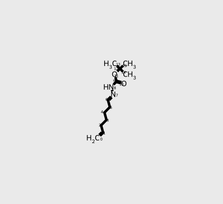 C=CCCCC/C=N/NC(=O)OC(C)(C)C